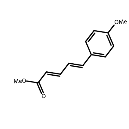 COC(=O)C=CC=Cc1ccc(OC)cc1